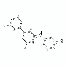 Cc1cncc(-c2cc(C)nc(Nc3cccc(Cl)c3)n2)c1